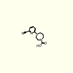 N#Cc1cccc(N2CCCN(C(=O)O)CC2)n1